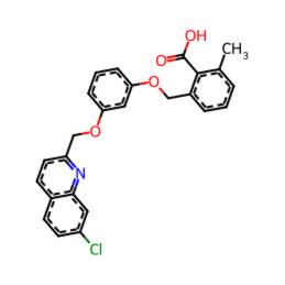 Cc1cccc(COc2cccc(OCc3ccc4ccc(Cl)cc4n3)c2)c1C(=O)O